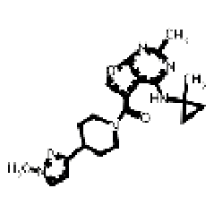 Cc1nc(NC2(C)CC2)c2c(C(=O)N3CCC(c4ccn(C)n4)CC3)coc2n1